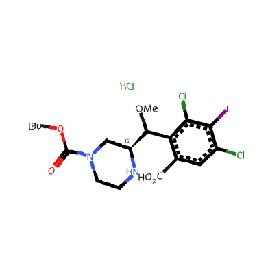 COC(c1c(C(=O)O)cc(Cl)c(I)c1Cl)[C@@H]1CN(C(=O)OC(C)(C)C)CCN1.Cl